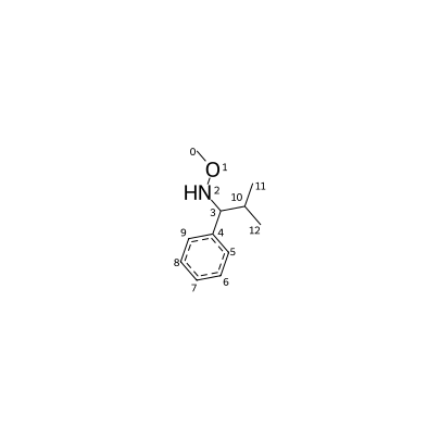 CONC(c1ccccc1)C(C)C